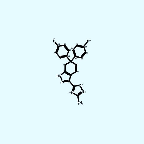 Cc1noc(-c2n[nH]c3c2C=CC(c2ccc(F)cc2)(c2ccc(F)cc2)C3)n1